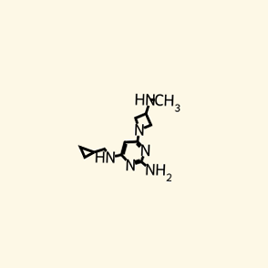 CNC1CN(c2cc(NCC3CC3)nc(N)n2)C1